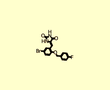 O=C1NC(=O)/C(=C/c2cc(Br)ccc2OCc2ccc(F)cc2)N1